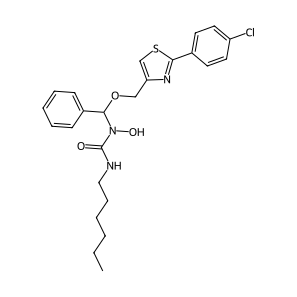 CCCCCCNC(=O)N(O)C(OCc1csc(-c2ccc(Cl)cc2)n1)c1ccccc1